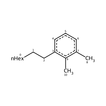 [CH2]CCCCCCCc1cccc(C)c1C